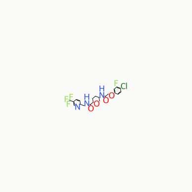 O=C(COc1ccc(Cl)c(F)c1)NC1CCC(C(=O)NCc2ccc(C(F)(F)F)cn2)OC1